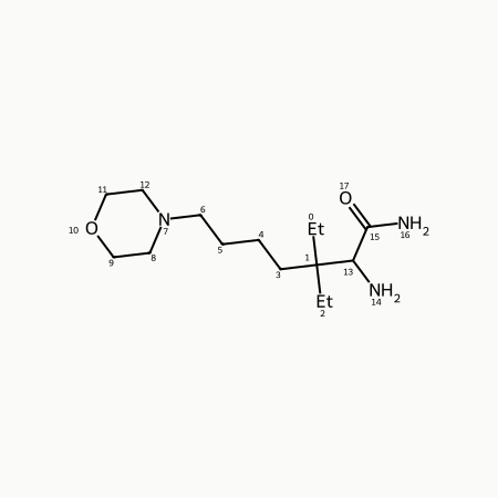 CCC(CC)(CCCCN1CCOCC1)C(N)C(N)=O